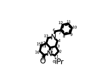 CC(C)[C@H]1CC2CN(Cc3ccccc3)C[C@H]3CCC(=O)N1C23